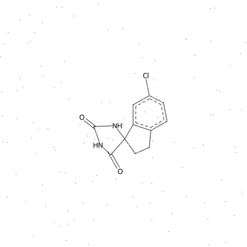 O=C1NC(=O)C2(CCc3ccc(Cl)cc32)N1